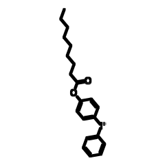 CCCCCCCCC(=O)Oc1ccc([I+]c2ccccc2)cc1